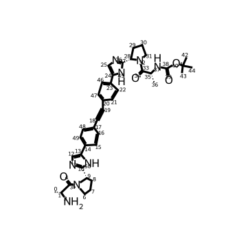 C[C@@H](N)C(=O)N1CCC[C@H]1c1ncc(-c2ccc(C#Cc3ccc(-c4cnc([C@@H]5CCCN5C(=O)[C@@H](C)NC(=O)OC(C)(C)C)[nH]4)cc3)cc2)[nH]1